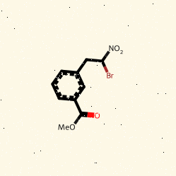 COC(=O)c1cccc(CC(Br)[N+](=O)[O-])c1